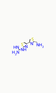 N=C(N)Nc1nc(-c2csc(CN)n2)cs1